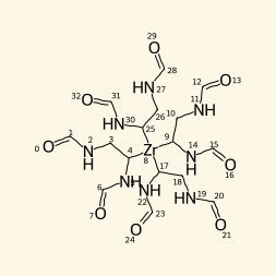 O=CNC[CH](NC=O)[Zr]([CH](CNC=O)NC=O)([CH](CNC=O)NC=O)[CH](CNC=O)NC=O